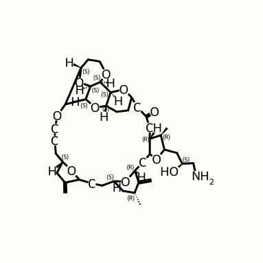 C=C1C[C@@H]2CCCOC3[C@@H]4CCO[C@H]5[C@H]6OC(CC[C@@H]6O[C@@H]3[C@H]5O4)CC(=O)C[C@H]3C(C[C@H]4O[C@@H](CCC1O2)C[C@@H](C)C4=C)OC(C[C@H](O)CN)[C@@H]3C